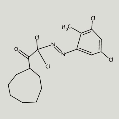 Cc1c(Cl)cc(Cl)cc1N=NC(Cl)(Cl)C(=O)C1CCCCCCC1